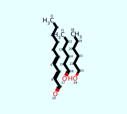 CCCCCC=CC=CC=O.CCCCCC=O.CCCCCCO